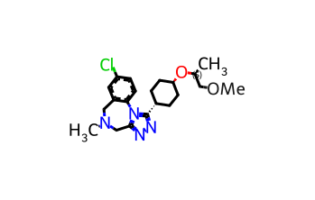 COC[C@H](C)O[C@H]1CC[C@H](c2nnc3n2-c2ccc(Cl)cc2CN(C)C3)CC1